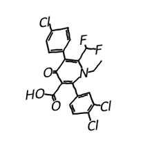 CCn1c(-c2ccc(Cl)c(Cl)c2)c(C(=O)O)c(=O)c(-c2ccc(Cl)cc2)c1C(F)F